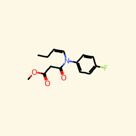 CC/C=C\N(C(=O)CC(=O)OC)c1ccc(F)cc1